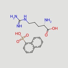 N=C(N)NCCC[C@H](N)C(=O)O.O=S(=O)(O)c1cccc2ccccc12